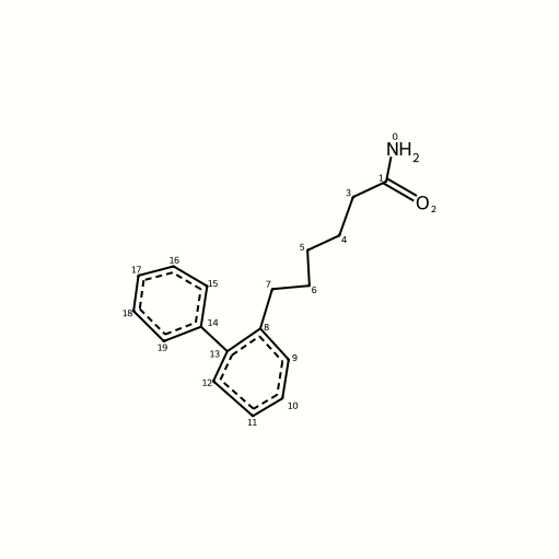 NC(=O)CCCCCc1ccccc1-c1ccccc1